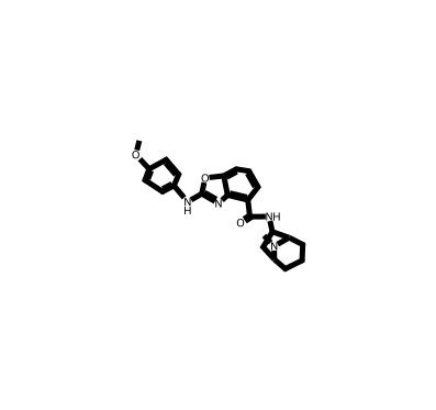 COc1ccc(Nc2nc3c(C(=O)NC4CC5CCCC4N5C)cccc3o2)cc1